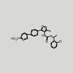 Cc1noc(-c2ccc(-c3ccc(C(=O)O)nc3)cc2)c1NC(=O)OC(C)c1ccccc1Cl